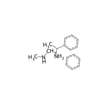 CC(N)c1ccccc1.CNC.c1ccccc1